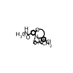 C=C[C@H](O)[C@@H]1CC[C@H]1CN1Cc2ccc(Cl)cc2CCCCOc2ccc(C(=O)NC)cc21